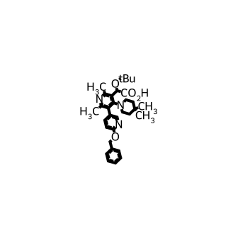 Cc1nc(C)c(C(OC(C)(C)C)C(=O)O)c(N2CCC(C)(C)CC2)c1-c1ccc(OCc2ccccc2)nc1